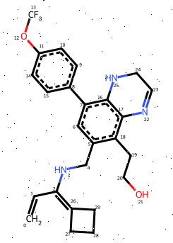 C=CC(NCc1cc(-c2ccc(OC(F)(F)F)cc2)c2c(c1CCO)N=CCN2)=C1CCC1